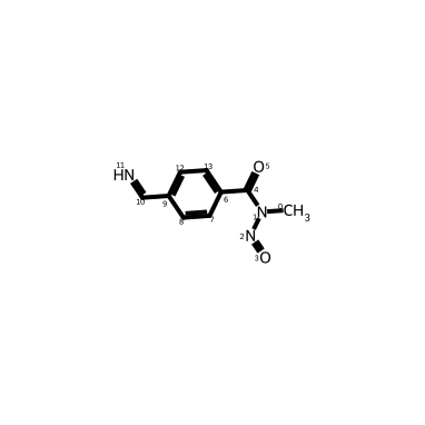 CN(N=O)C(=O)c1ccc(C=N)cc1